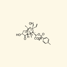 C=C[C@]1(C)C[C@@H](C(OS(=O)(=O)c2ccc(C)cc2)C(=O)O)[C@@]2(C)[C@H](C)CC[C@]3(CC(O)C(=O)[C@H]32)[C@@H](C)[C@@H]1O